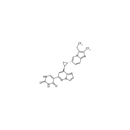 O=c1[nH]cc(-c2cc([C@H]3C[C@@H]3c3ccc4nc(C(F)(F)F)c(CC(F)(F)F)n4c3)c3nccn3n2)c(=O)[nH]1